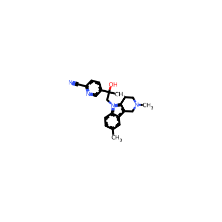 Cc1ccc2c(c1)c1c(n2CC(C)(O)c2ccc(C#N)nc2)CCN(C)C1